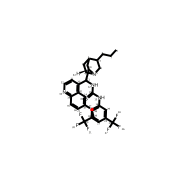 CCCC1CN2CCC1C[C@H]2C(NC(=S)Nc1cc(C(F)(F)F)cc(C(F)(F)F)c1)c1ccnc2ccc(OC)cc12